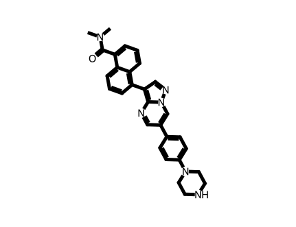 CN(C)C(=O)c1cccc2c(-c3cnn4cc(-c5ccc(N6CCNCC6)cc5)cnc34)cccc12